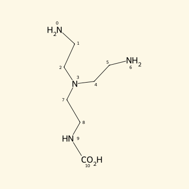 NCCN(CCN)CCNC(=O)O